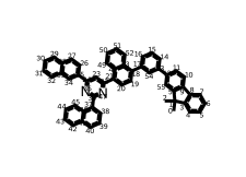 CC1(C)c2ccccc2-c2ccc(-c3cccc(-c4ccc(-c5cc(-c6ccc7ccccc7c6)nc(-c6cccc7ccccc67)n5)c5ccccc45)c3)cc21